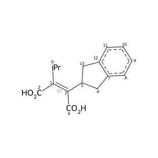 CC(C)/C(C(=O)O)=C(/C(=O)O)C1Cc2ccccc2C1